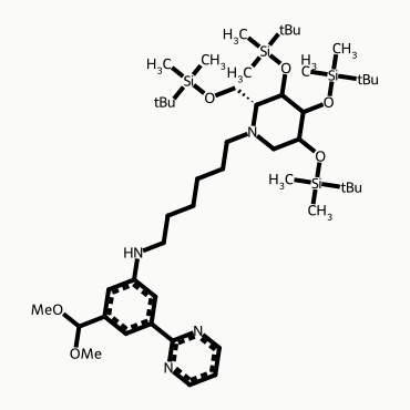 COC(OC)c1cc(NCCCCCCN2CC(O[Si](C)(C)C(C)(C)C)C(O[Si](C)(C)C(C)(C)C)C(O[Si](C)(C)C(C)(C)C)[C@H]2CO[Si](C)(C)C(C)(C)C)cc(-c2ncccn2)c1